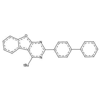 CC(C)(C)c1nc(-c2ccc(-c3ccccc3)cc2)nc2oc3ccccc3c12